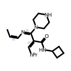 C\C=C/N=C(\C(=C\CCC)C(=O)NC1CCC1)N1CCNCC1